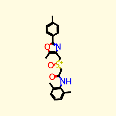 Cc1ccc(-c2nc(C[S+]([O-])CC(=O)Nc3c(C)cccc3C)c(C)o2)cc1